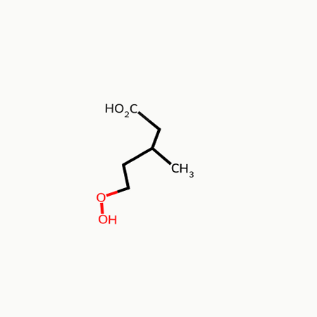 CC(CCOO)CC(=O)O